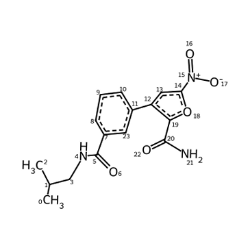 CC(C)CNC(=O)c1cccc(-c2cc([N+](=O)[O-])oc2C(N)=O)c1